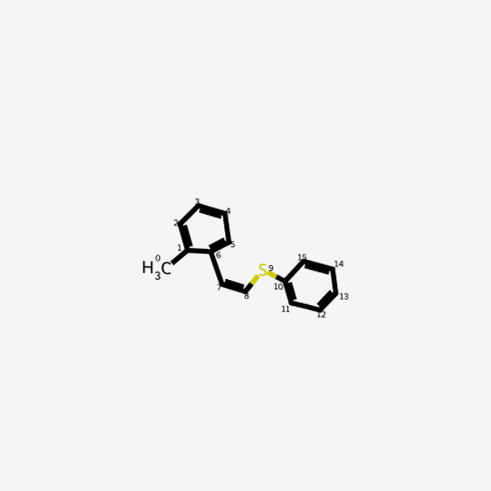 Cc1ccccc1/C=C\Sc1ccccc1